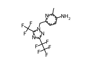 Cc1nc(Cn2nc(C(F)(F)C(F)(F)F)nc2C(F)(F)F)ccc1N